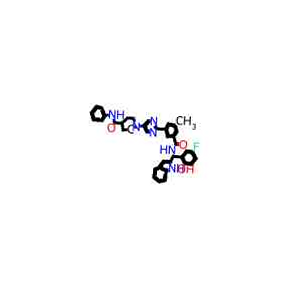 Cc1cc(C(=O)N[C@@H](c2cc3ccccc3[nH]2)c2cc(F)ccc2O)cc(-c2ncc(N3CCC(C(=O)Nc4ccccc4)CC3)cn2)c1